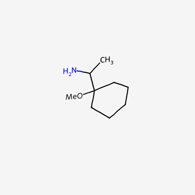 COC1(C(C)N)CCCCC1